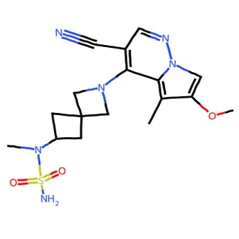 COc1cn2ncc(C#N)c(N3CC4(CC(N(C)S(N)(=O)=O)C4)C3)c2c1C